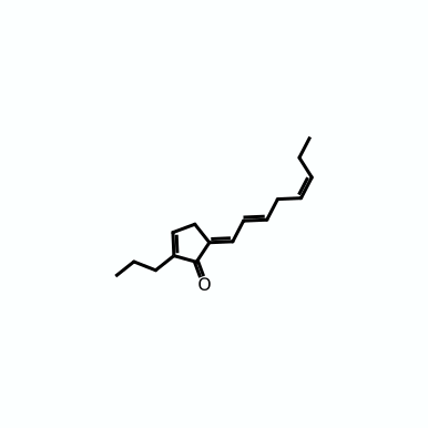 CC/C=C\C/C=C/C=C1\CC=C(CCC)C1=O